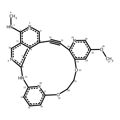 CNc1ncc2c3cc(ncc13)Nc1cccc(n1)OCCOc1cc(OC)cnc1C#C2